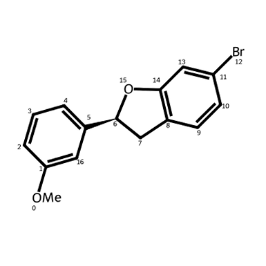 COc1cccc([C@@H]2Cc3ccc(Br)cc3O2)c1